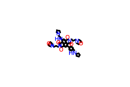 O=C1c2cc(-c3ccc(CNC4CCCC4)cc3)c3c4c(cc(NCCN5CCCC5)c(c24)C(=O)N1CCCN1CCOCC1)C(=O)N(CCCN1CCOCC1)C3=O